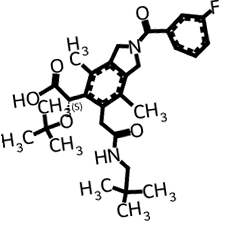 Cc1c2c(c(C)c([C@H](OC(C)(C)C)C(=O)O)c1CC(=O)NCC(C)(C)C)CN(C(=O)c1cccc(F)c1)C2